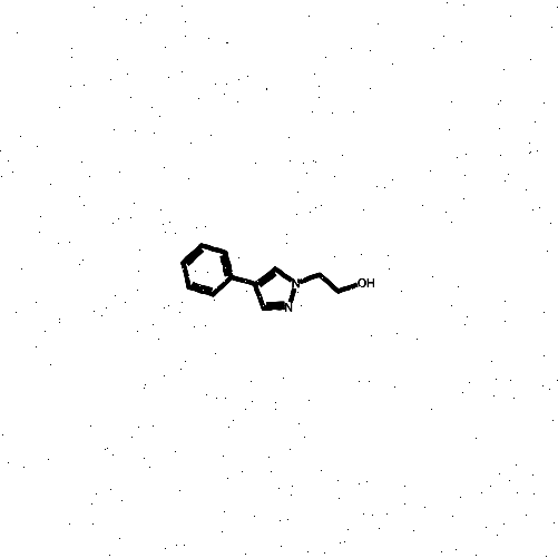 OCCn1cc(-c2ccccc2)cn1